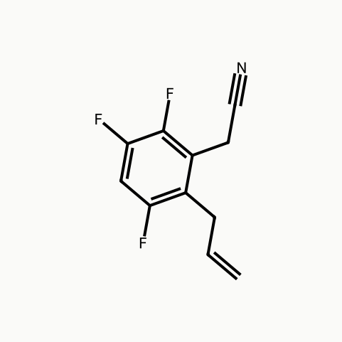 C=CCc1c(F)cc(F)c(F)c1CC#N